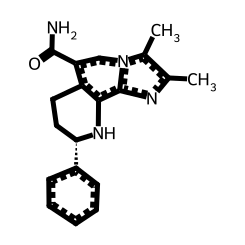 Cc1nc2c3c(c(C(N)=O)cn2c1C)CC[C@@H](c1ccccc1)N3